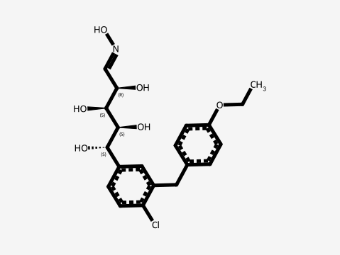 CCOc1ccc(Cc2cc([C@H](O)[C@H](O)[C@@H](O)[C@H](O)C=NO)ccc2Cl)cc1